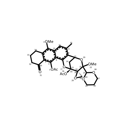 COc1c2c(c(OC(C)=O)c3c4c(c(C)cc13)C1C[C@@](OC(C)=O)(O4)[C@@]3(CO3)C(OC)(C3OCCCO3)O1)C(=O)CCC2